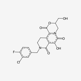 O=C1OC(CO)Cn2c1c1c(c(O)c2=O)C(=O)N(Cc2ccc(F)c(Cl)c2)CC1